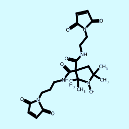 CC1(C)CC(C(=O)NCCCN2C(=O)C=CC2=O)(C(=O)NCCN2C(=O)C=CC2=O)C(C)(C)N1[O]